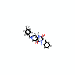 CCCCN1C(=O)[C@H](CC2CCCCC2)NC(=O)C12CCN(Cc1ccc(C(C)C)cc1)CC2